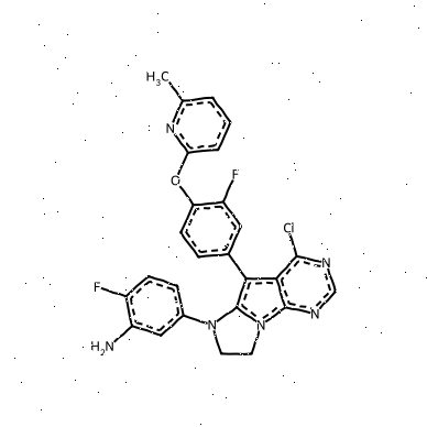 Cc1cccc(Oc2ccc(-c3c4n(c5ncnc(Cl)c35)CCN4c3ccc(F)c(N)c3)cc2F)n1